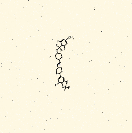 Cc1cc(F)c(C(F)(F)OC2CCC(/C=C/C3CCC(c4cc(F)c(OC(F)(F)F)c(F)c4)CC3)CC2)c(F)c1